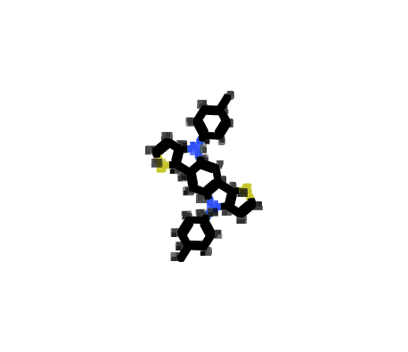 Cc1ccc(-n2c3cc4c5sccc5n(-c5ccc(C)cc5)c4cc3c3sccc32)cc1